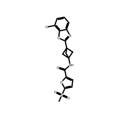 CS(=O)(=O)c1ccc(C(=O)NC23CC(c4nc5cccc(Cl)c5o4)(C2)C3)o1